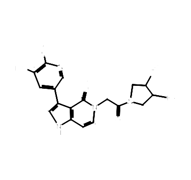 O=C(Cn1ccc2[nH]cc(-c3cnc(Cl)c(C(F)(F)F)c3)c2c1=O)N1CC(F)C(F)C1